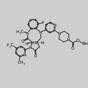 Cc1cc(C(F)(F)F)cc(N2C(=O)C[C@@H]3CN(c4ccnc(N5CCN(C(=O)OC(C)(C)C)CC5)c4)c4c(F)cccc4N(C)C(=O)[C@H]32)n1